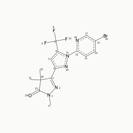 CN1N=C(c2cc(C(F)(F)F)n(-c3ccc(Br)cn3)n2)C(C)(C)C1=O